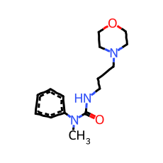 CN(C(=O)NCCCN1CCOCC1)c1ccccc1